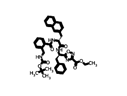 CCOC(=O)c1noc([C@@H](Cc2ccccc2)NC(=O)[C@@H](Cc2ccc3ccccc3c2)NC(=O)c2ccccc2CNC(=O)OC(C)(C)C)n1